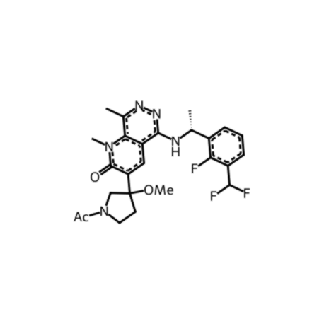 COC1(c2cc3c(N[C@H](C)c4cccc(C(F)F)c4F)nnc(C)c3n(C)c2=O)CCN(C(C)=O)C1